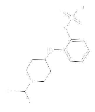 CC(C)N1CCC(Nc2ccccc2NS(C)(=O)=O)CC1